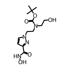 CC(C)(C)OC(=O)N(CCO)CCn1ccc(C(=O)NO)n1